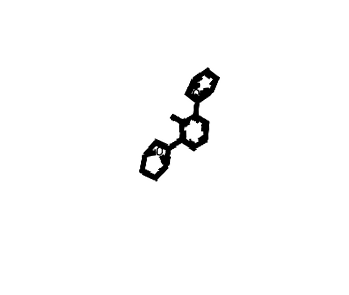 Cc1c(-c2cc3ccc2o3)cccc1C1CC2CCC1O2